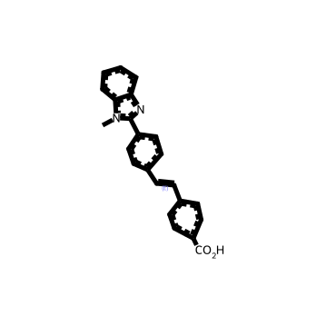 Cn1c(-c2ccc(/C=C/c3ccc(C(=O)O)cc3)cc2)nc2ccccc21